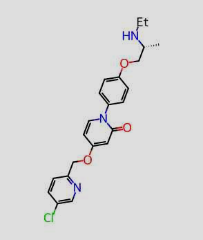 CCN[C@H](C)COc1ccc(-n2ccc(OCc3ccc(Cl)cn3)cc2=O)cc1